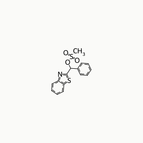 CS(=O)(=O)OC(c1ccccc1)c1nc2ccccc2s1